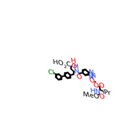 COC(=O)NC(C(=O)OCOn1nnc2ccc(C(=O)NC(Cc3ccc(-c4cccc(Cl)c4)cc3)CC(O)C(=O)O)cc21)C(C)C